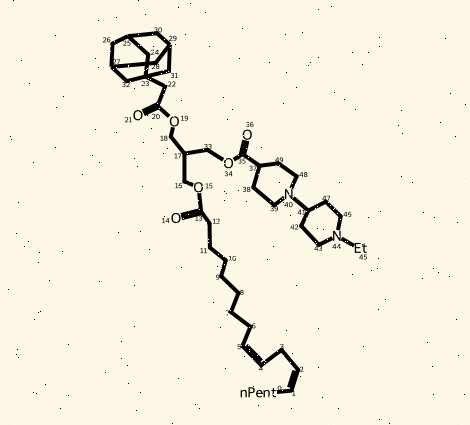 CCCCC/C=C\C/C=C\CCCCCCCC(=O)OCC(COC(=O)CC12CC3CC(CC(C3)C1)C2)COC(=O)C1CCN(C2CCN(CC)CC2)CC1